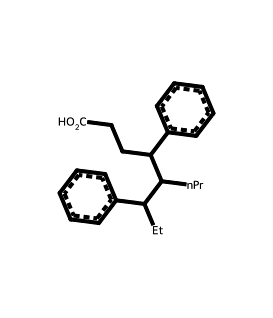 CCCC(C(CC)c1ccccc1)C(CCC(=O)O)c1ccccc1